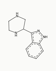 c1ccc2c(C3CNCCN3)n[nH]c2c1